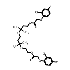 CC(C)(CCOC(=O)COc1ccc(Cl)cc1Cl)OCCC(C)(C)OCCOC(=O)COc1ccc(Cl)cc1Cl